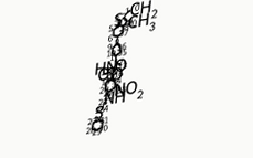 C=Cc1sc2ccc(-c3ccc(C(=O)NS(=O)(=O)c4ccc(NCCSc5ccccc5)c([N+](=O)[O-])c4)cc3)cc2c1C